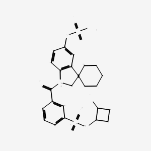 CS(=O)(=O)Nc1ccc2c(c1)C1(CCCCC1)CN2C(=O)c1cccc(S(=O)(=O)NC2CCC2O)c1